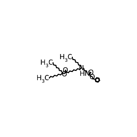 CCCCCCCCC(CCCCCCCC)OC(=O)CCCCCCCN(CCCCCCCC)CCCNC(=O)COCc1ccccc1